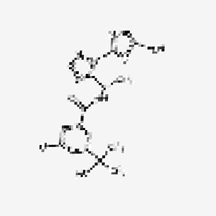 C[C@H](NC(=O)c1cc(Cl)cc(C(C)(C)C#N)c1)c1ncnn1-c1ncc(C#N)s1